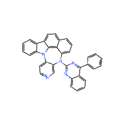 c1ccc(-c2nc(-n3c4cccc5ccc6c7ccccc7n(c7ccncc73)c6c54)nc3ccccc23)cc1